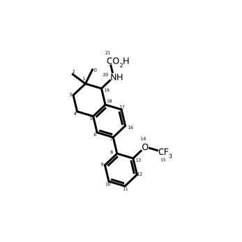 CC1(C)CCc2cc(-c3ccccc3OC(F)(F)F)ccc2C1NC(=O)O